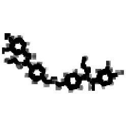 CCOB(Nc1ccc(F)c(F)c1)c1ccc(COCc2ccc(B(Nc3ccc(F)c(F)c3)OCC)cc2)cc1